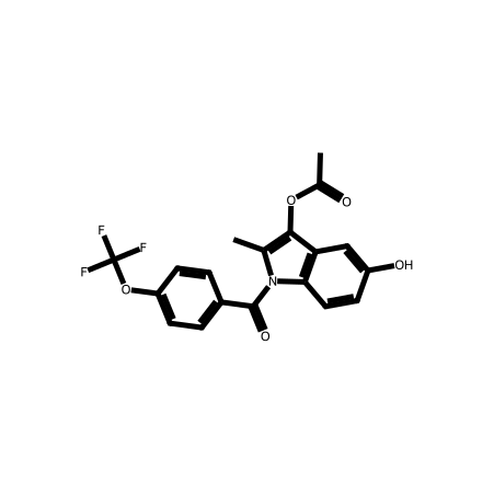 CC(=O)Oc1c(C)n(C(=O)c2ccc(OC(F)(F)F)cc2)c2ccc(O)cc12